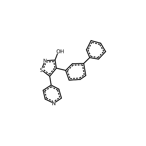 Oc1nsc(-c2ccncc2)c1-c1cccc(-c2ccccc2)c1